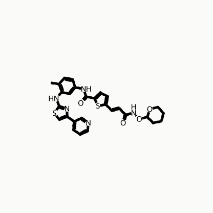 Cc1ccc(NC(=O)c2ccc(/C=C/C(=O)NOC3CCCCO3)s2)cc1Nc1nc(-c2cccnc2)cs1